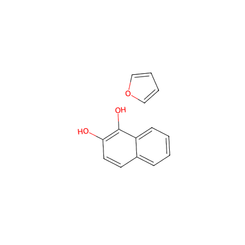 Oc1ccc2ccccc2c1O.c1ccoc1